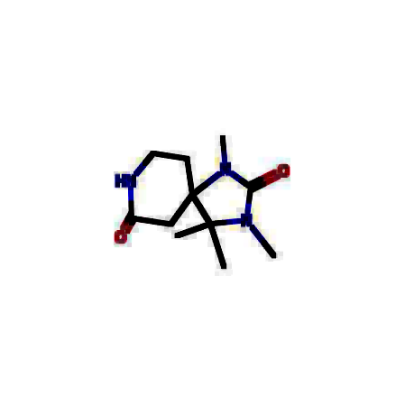 CN1C(=O)N(C)C2(CCNC(=O)C2)C1(C)C